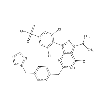 CN(C)c1nn(-c2c(Cl)cc(S(N)(=O)=O)cc2Cl)c2nc(Cc3ccc(Cn4cccn4)cc3)[nH]c(=O)c12